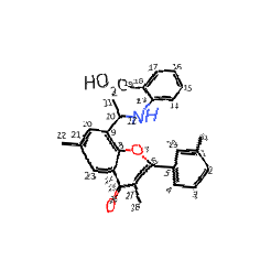 Cc1cccc(-c2oc3c(C(C)Nc4ccccc4C(=O)O)cc(C)cc3c(=O)c2C)c1